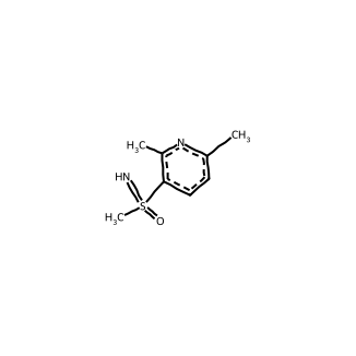 Cc1ccc(S(C)(=N)=O)c(C)n1